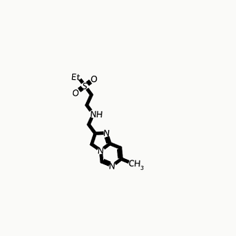 CCS(=O)(=O)CCNCC1CN2C=NC(C)=CC2=N1